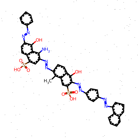 Cc1c(N=Nc2cc(S(=O)(=O)O)c3ccc(N=Nc4ccccc4)c(O)c3c2N)ccc2c(O)c(N=Nc3ccc(N=Nc4cccc5ccccc45)cc3)c(S(=O)(=O)O)cc12